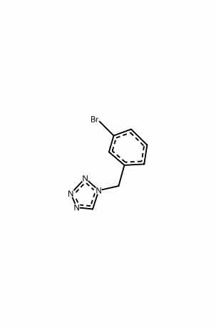 Brc1cccc(Cn2cnnn2)c1